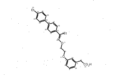 CC/C(=N\OCCOc1cccc(CC(=O)O)c1)c1ccc(-c2ccc(CC)cc2)cc1